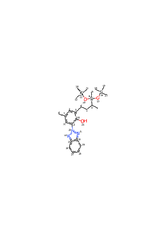 Cc1cc(CCC(C)[Si](C)(O[Si](C)(C)C)O[Si](C)(C)C)c(O)c(-n2nc3ccccc3n2)c1